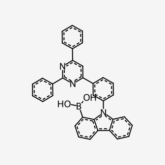 OB(O)c1cccc2c3ccccc3n(-c3cccc(-c4cc(-c5ccccc5)nc(-c5ccccc5)n4)c3)c12